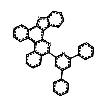 c1ccc(-c2cc(-c3ccccc3)nc(-c3nc4c(c5ccccc35)c3ccccc3c3sc5ccccc5c43)c2)cc1